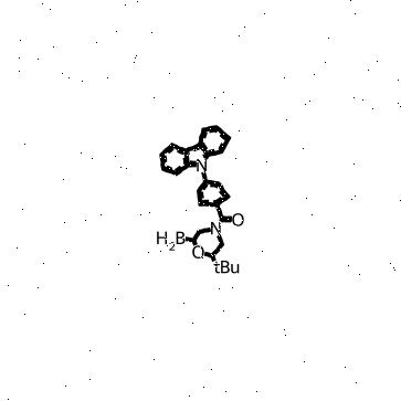 BC1CN(C(=O)c2ccc(-n3c4ccccc4c4ccccc43)cc2)CC(C(C)(C)C)O1